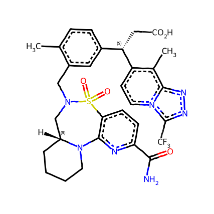 Cc1ccc([C@H](CC(=O)O)c2ccn3c(C(F)(F)F)nnc3c2C)cc1CN1C[C@H]2CCCCN2c2nc(C(N)=O)ccc2S1(=O)=O